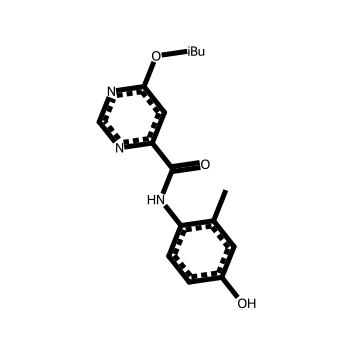 CCC(C)Oc1cc(C(=O)Nc2ccc(O)cc2C)ncn1